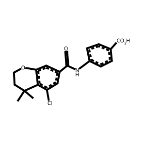 CC1(C)CCOc2cc(C(=O)Nc3ccc(C(=O)O)cc3)cc(Cl)c21